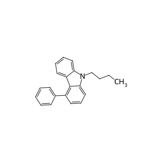 CCCCn1c2ccccc2c2c(-c3ccccc3)cccc21